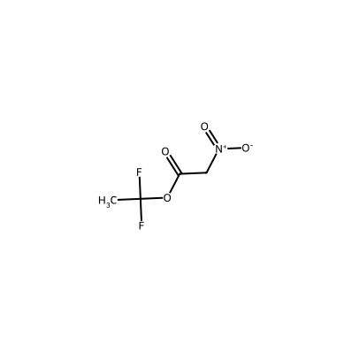 CC(F)(F)OC(=O)C[N+](=O)[O-]